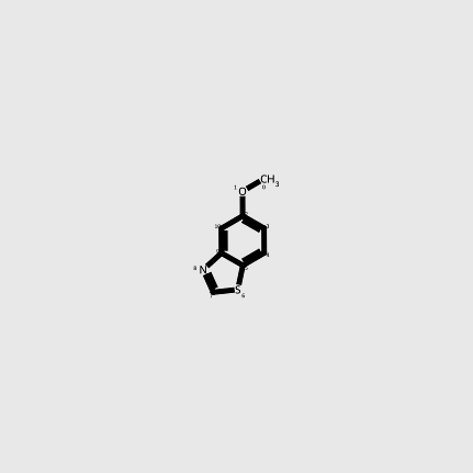 COc1ccc2s[c]nc2c1